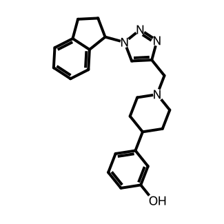 Oc1cccc(C2CCN(Cc3cn(C4CCc5ccccc54)nn3)CC2)c1